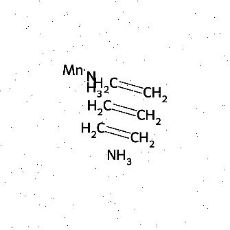 C=C.C=C.C=C.N.N.[Mn]